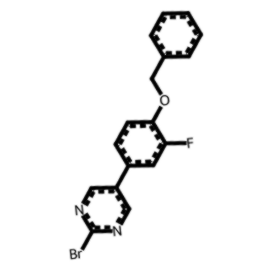 Fc1cc(-c2cnc(Br)nc2)ccc1OCc1ccccc1